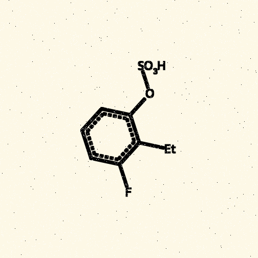 CCc1c(F)cccc1OS(=O)(=O)O